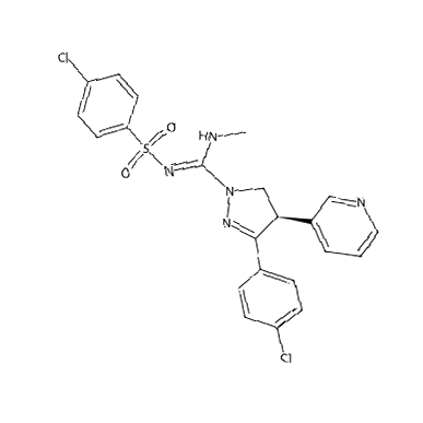 CN/C(=N\S(=O)(=O)c1ccc(Cl)cc1)N1C[C@@H](c2cccnc2)C(c2ccc(Cl)cc2)=N1